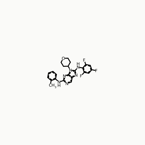 Cc1ccccc1Nc1ncc2nc(Nc3c(F)cc(F)cc3F)n(C3CCOCC3)c2n1